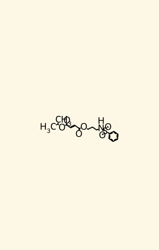 CC(C)OC(=O)/C=C/C(=O)OCCCNS(=O)(=O)c1ccccc1